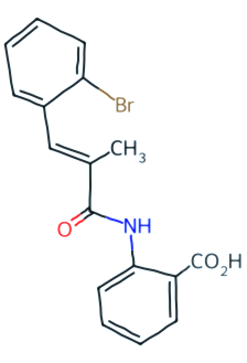 CC(=Cc1ccccc1Br)C(=O)Nc1ccccc1C(=O)O